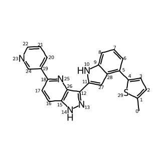 Cc1ccc(-c2cccc3[nH]c(-c4n[nH]c5ccc(-c6cccnc6)nc45)cc23)s1